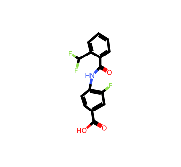 O=C(O)c1ccc(NC(=O)c2ccccc2C(F)F)c(F)c1